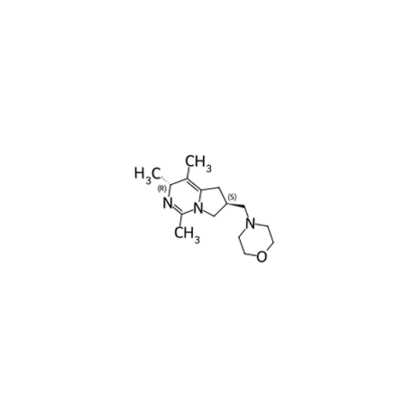 CC1=N[C@H](C)C(C)=C2C[C@@H](CN3CCOCC3)CN12